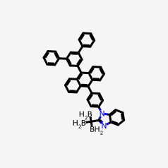 BC(B)(B)c1nc2ccccc2n1-c1ccc(-c2c3ccccc3c(-c3cc(-c4ccccc4)cc(-c4ccccc4)c3)c3ccccc23)cc1